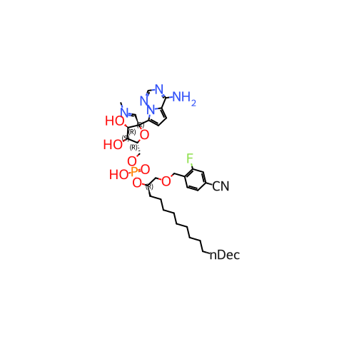 CCCCCCCCCCCCCCCCCCC[C@H](COCc1ccc(C#N)cc1F)OP(=O)(O)OC[C@H]1O[C@@](C=NC)(c2ccc3c(N)ncnn23)[C@H](O)[C@@H]1O